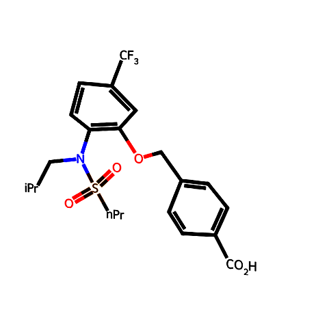 CCCS(=O)(=O)N(CC(C)C)c1ccc(C(F)(F)F)cc1OCc1ccc(C(=O)O)cc1